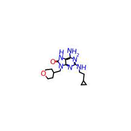 Nc1nc(NCCC2CC2)nc2c1[nH]c(=O)n2CC1CCOCC1